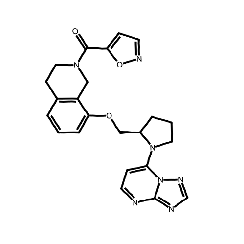 O=C(c1ccno1)N1CCc2cccc(OC[C@H]3CCCN3c3ccnc4ncnn34)c2C1